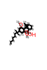 CCCCCCC(C)(C)c1cc(OC)c(C2=C(C)C3CCC2(C(=O)O)C3(C)C)c(OC)c1